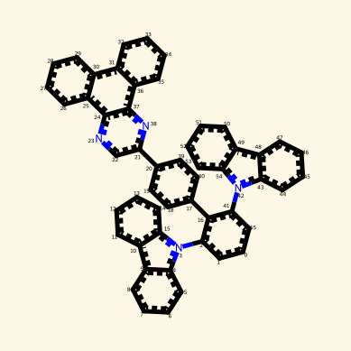 c1cc(-n2c3ccccc3c3ccccc32)c(-c2ccc(-c3cnc4c5ccccc5c5ccccc5c4n3)cc2)c(-n2c3ccccc3c3ccccc32)c1